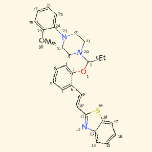 CCC(Oc1ccccc1/C=C/c1nc2ccccc2s1)N1CCN(c2ccccc2OC)CC1